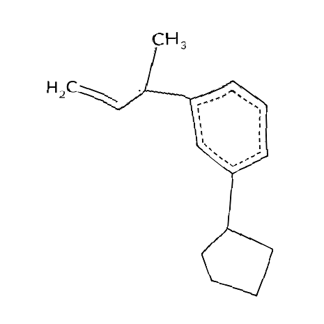 C=C[C](C)c1cccc(C2CCCC2)c1